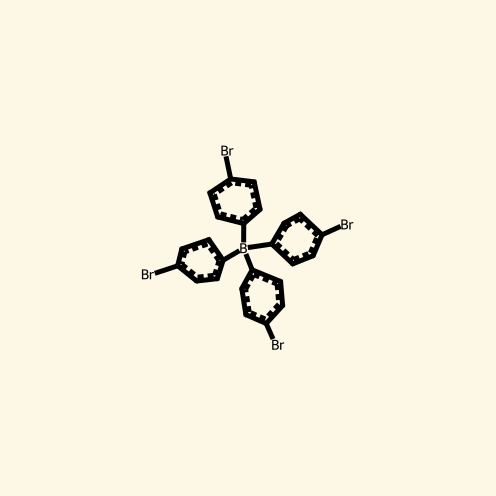 Brc1ccc([B-](c2ccc(Br)cc2)(c2ccc(Br)cc2)c2ccc(Br)cc2)cc1